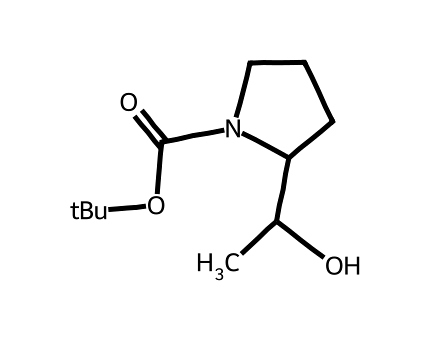 CC(O)C1CCCN1C(=O)OC(C)(C)C